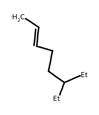 [CH2]C=CCCC(CC)CC